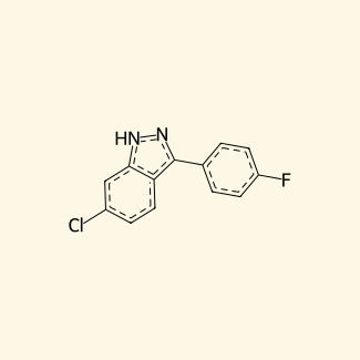 Fc1ccc(-c2n[nH]c3cc(Cl)ccc23)cc1